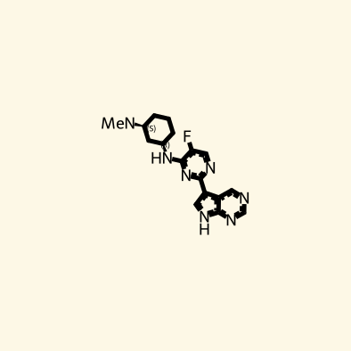 CN[C@H]1CCC[C@@H](Nc2nc(-c3c[nH]c4ncncc34)ncc2F)C1